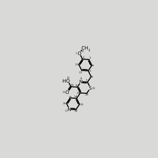 COc1ccc(CC2=NC(C(=O)O)=C(c3ccncc3)CS2)cc1